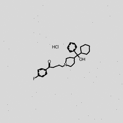 Cl.O=C(CCCN1CCC(C(O)(c2ccccc2)C2CCCCC2)CC1)c1ccc(F)cc1